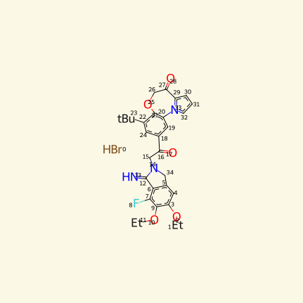 Br.CCOc1cc2c(c(F)c1OCC)C(=N)N(CC(=O)c1cc3c(c(C(C)(C)C)c1)OCC(=O)c1cccn1-3)C2